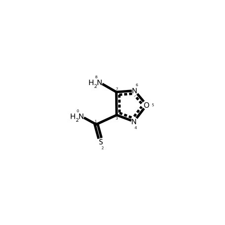 NC(=S)c1nonc1N